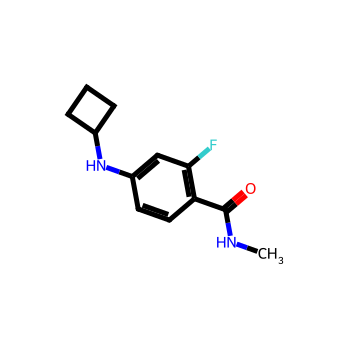 CNC(=O)c1ccc(NC2CCC2)cc1F